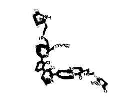 COc1nc(-c2cccc(-c3ccnc(-c4ccn5c(=O)c(CNC[C@@H]6CCC(=O)N6)cnc5c4)c3Cl)c2Cl)ccc1CNC[C@H]1CCC(=O)N1